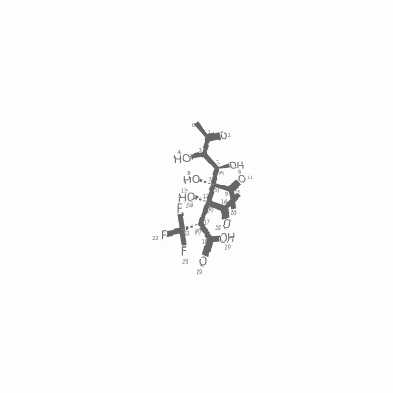 CC(=O)C(O)[C@@H](O)[C@@](O)(C(C)=O)[C@@](O)(C(C)=O)[C@H](C(=O)O)C(F)(F)F